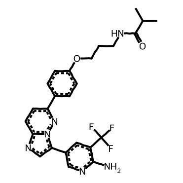 CC(C)C(=O)NCCCOc1ccc(-c2ccc3ncc(-c4cnc(N)c(C(F)(F)F)c4)n3n2)cc1